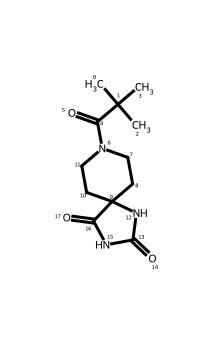 CC(C)(C)C(=O)N1CCC2(CC1)NC(=O)NC2=O